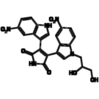 O=C1NC(=O)C(c2cn(CC(O)CO)c3ccc([N+](=O)[O-])cc23)=C1c1c[nH]c2ccc([N+](=O)[O-])cc12